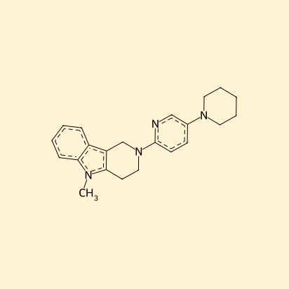 Cn1c2c(c3ccccc31)CN(c1ccc(N3CCCCC3)cn1)CC2